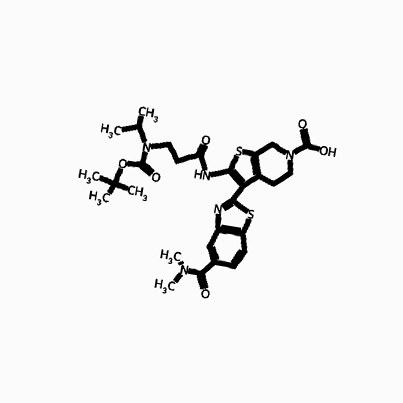 CC(C)N(CCC(=O)Nc1sc2c(c1-c1nc3cc(C(=O)N(C)C)ccc3s1)CCN(C(=O)O)C2)C(=O)OC(C)(C)C